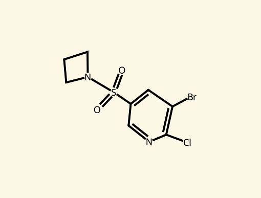 O=S(=O)(c1cnc(Cl)c(Br)c1)N1CCC1